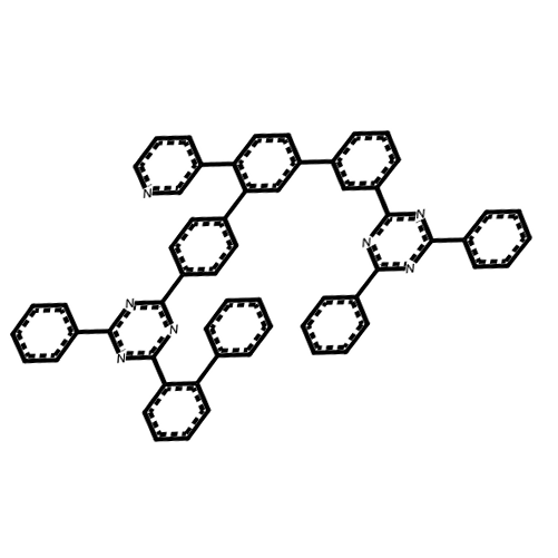 c1ccc(-c2nc(-c3ccccc3)nc(-c3cccc(-c4ccc(-c5cccnc5)c(-c5ccc(-c6nc(-c7ccccc7)nc(-c7ccccc7-c7ccccc7)n6)cc5)c4)c3)n2)cc1